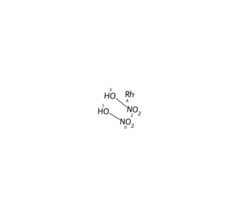 O=[N+]([O-])O.O=[N+]([O-])O.[Rh]